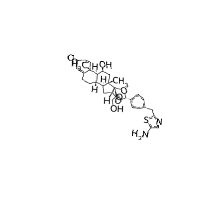 C[C@]12C=CC(=O)C=C1CC[C@@H]1[C@@H]2[C@@H](O)C[C@@]2(C)[C@H]1C[C@H]1O[C@@H](c3ccc(Cc4ncc(N)s4)cc3)O[C@]12C(=O)CO